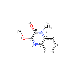 CC(C)Oc1nc2ccccc2n(C)c1=O